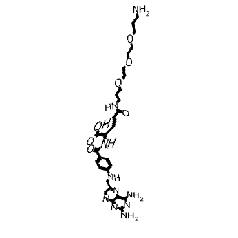 NCCCOCCOCCOCCCNC(=O)CCC(NC(=O)c1ccc(NCc2cnc3nc(N)nc(N)c3n2)cc1)C(=O)O